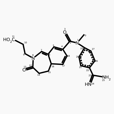 CN(C(=O)C1=CC2=CN(CCC(=O)O)C(=O)CCC2C=C1)c1ccc(C(=N)N)cc1